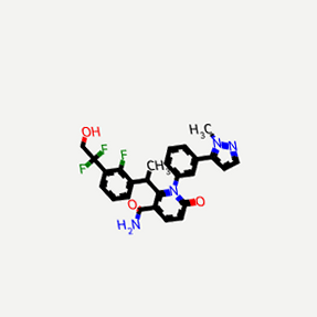 CC(c1cccc(C(F)(F)CO)c1F)c1c(C(N)=O)ccc(=O)n1-c1cccc(-c2ccnn2C)c1